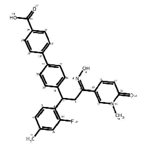 Cc1ccc(C(C/C(=N/O)c2ccc(=O)n(C)c2)c2ccc(-c3ccc(C(=O)O)cc3)cc2)c(F)c1